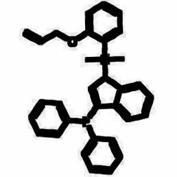 C=CCOc1ccccc1[Si](C)(C)C1C=C(P(c2ccccc2)c2ccccc2)c2ccccc21